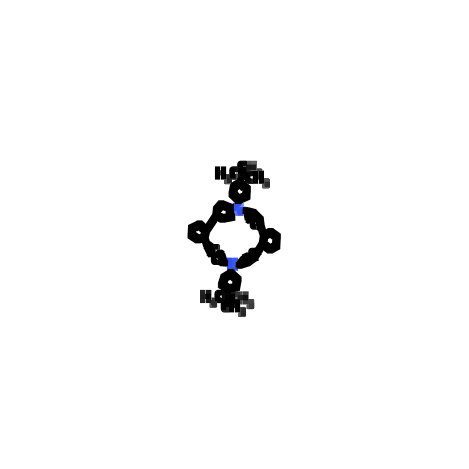 C[Si](C)(C)c1ccc(N2c3ccc(cc3)-c3ccccc3-c3ccc(cc3)N(c3ccc([Si](C)(C)C)cc3)c3ccc(cc3)-c3ccccc3-c3ccc2cc3)cc1